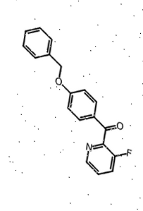 O=C(c1ccc(OCc2ccccc2)cc1)c1ncccc1F